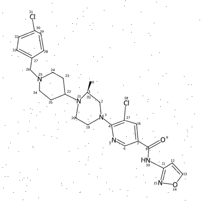 C[C@H]1CN(c2ncc(C(=O)Nc3ccon3)cc2Cl)CCN1C1CCN(Cc2ccc(Cl)cc2)CC1